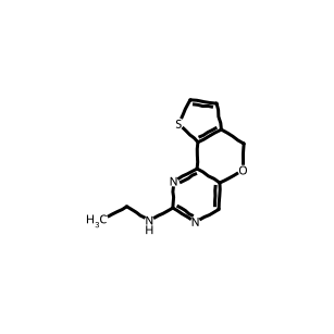 CCNc1ncc2c(n1)-c1sccc1CO2